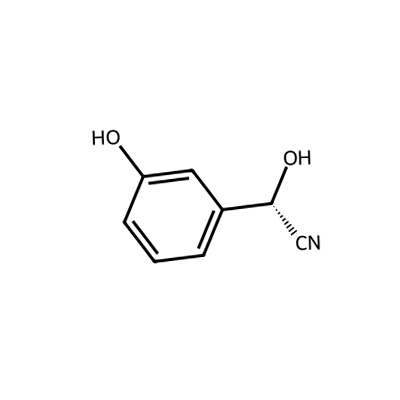 N#C[C@@H](O)c1cccc(O)c1